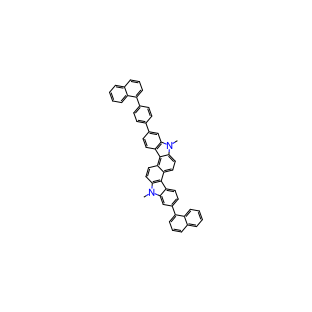 Cn1c2cc(-c3ccc(-c4cccc5ccccc45)cc3)ccc2c2c3ccc4c(c3ccc21)c1ccc(-c2cccc3ccccc23)cc1n4C